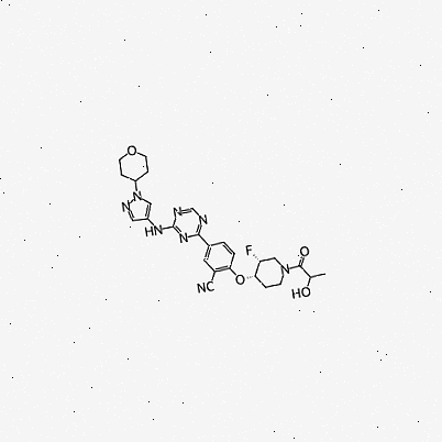 CC(O)C(=O)N1CC[C@H](Oc2ccc(-c3ncnc(Nc4cnn(C5CCOCC5)c4)n3)cc2C#N)[C@H](F)C1